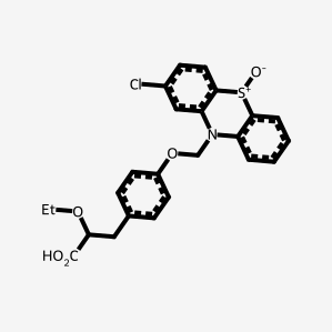 CCOC(Cc1ccc(OCN2c3ccccc3[S+]([O-])c3ccc(Cl)cc32)cc1)C(=O)O